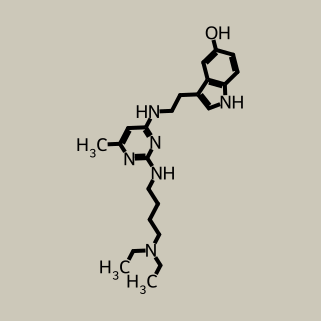 CCN(CC)CCCCNc1nc(C)cc(NCCc2c[nH]c3ccc(O)cc23)n1